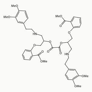 COC(=O)c1ccccc1OCC(CNCCc1ccc(OC)c(OC)c1)OC(=O)C(=O)OC(CNCCc1ccc(OC)c(OC)c1)COc1ccccc1C(=O)OC